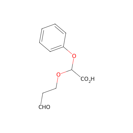 O=CCCOC(Oc1ccccc1)C(=O)O